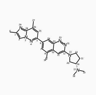 Cc1cn2nc(-c3cc(F)c4cc(N5CC[C@H](N(C)C)C5)nnc4c3)cc(C)c2n1